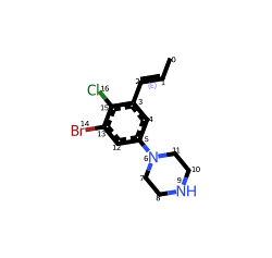 C/C=C/c1cc(N2CCNCC2)cc(Br)c1Cl